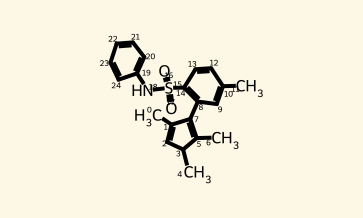 CC1=CC(C)C(C)=C1c1cc(C)ccc1S(=O)(=O)Nc1ccccc1